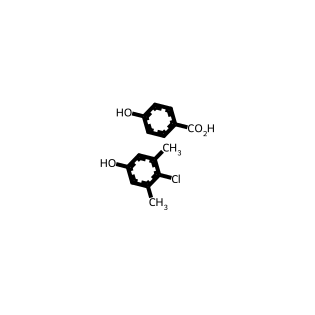 Cc1cc(O)cc(C)c1Cl.O=C(O)c1ccc(O)cc1